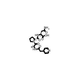 C[C@H](NC(=O)Cc1ccncc1)C(=O)N1CCC[C@@H]1C(=O)N[C@@H](CC(N)=O)C(=O)O